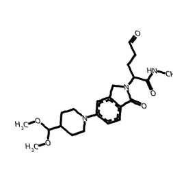 CNC(=O)C(CCC=O)N1Cc2cc(N3CCC(C(OC)OC)CC3)ccc2C1=O